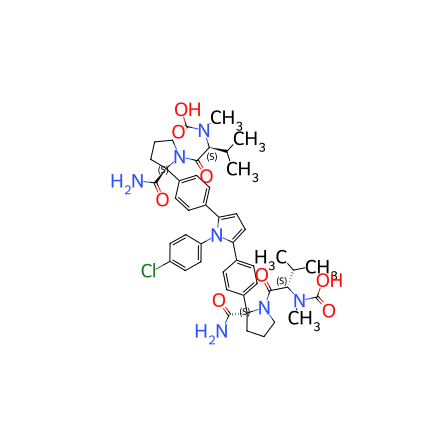 CC(C)[C@@H](C(=O)N1CCC[C@@]1(C(N)=O)c1ccc(-c2ccc(-c3ccc([C@]4(C(N)=O)CCCN4C(=O)[C@H](C(C)C)N(C)C(=O)O)cc3)n2-c2ccc(Cl)cc2)cc1)N(C)C(=O)O